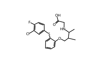 CC(COc1ccccc1Sc1ccc(F)c(Cl)c1)C(C)NCC(=O)O